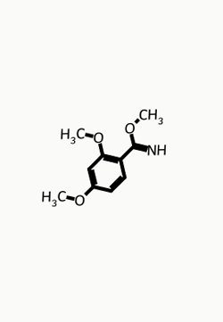 COC(=N)c1ccc(OC)cc1OC